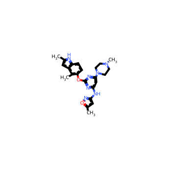 Cc1cc2c(C)c(Oc3nc(Nc4cc(C)on4)cc(N4CCN(C)CC4)n3)ccc2[nH]1